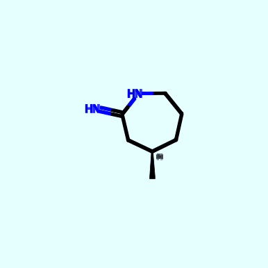 C[C@@H]1CCCNC(=N)C1